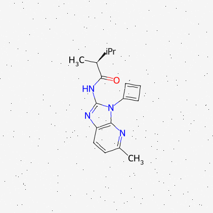 Cc1ccc2nc(NC(=O)[C@@H](C)C(C)C)n(C3=CC=C3)c2n1